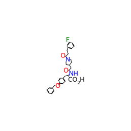 O=C(CC1CCN(C(=O)CCc2cccc(F)c2)CC1)NC(Cc1ccc(OCc2ccccc2)cc1)C(=O)O